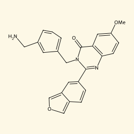 COc1ccc2nc(-c3ccc4cocc4c3)n(Cc3cccc(CN)c3)c(=O)c2c1